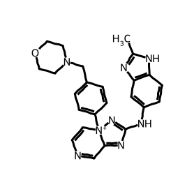 Cc1nc2cc(NC3=N[N+]4(c5ccc(CN6CCOCC6)cc5)C=CN=CC4=N3)ccc2[nH]1